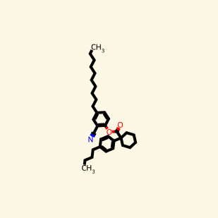 CCCCCCCCCCc1ccc(OC(=O)C2(c3ccc(CCCC)cc3)CCCCC2)c(C#N)c1